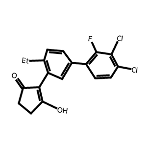 CCc1ccc(-c2ccc(Cl)c(Cl)c2F)cc1C1=C(O)CCC1=O